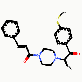 CC(C)Sc1ccc(C(=O)C(C)N2CCN(C(=O)C=Cc3ccccc3)CC2)cc1